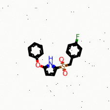 O=S(=O)(Cc1ccc(F)cc1)c1ccc(Oc2ccccc2)[nH]1